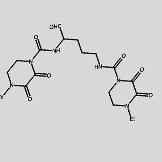 CCN1CCN(C(=O)NCCCC(C=O)NC(=O)N2CCN(CC)C(=O)C2=O)C(=O)C1=O